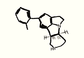 Cc1ccccc1-c1cc2c3c(c1)[C@@H]1CNCC[C@@H]1N3CC2